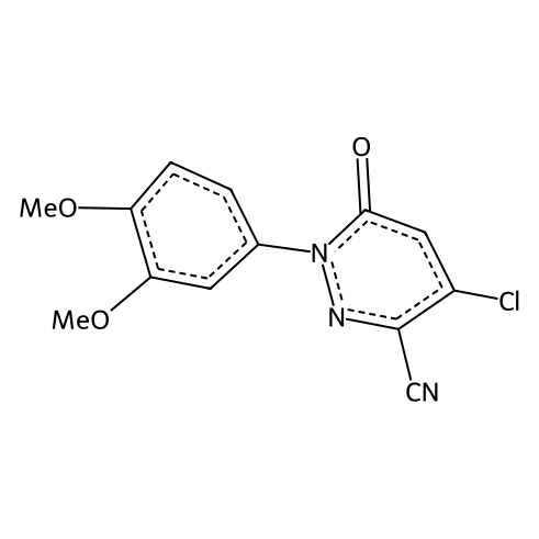 COc1ccc(-n2nc(C#N)c(Cl)cc2=O)cc1OC